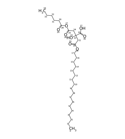 CCCCCCCCCCCCCCCCCCOC(=O)CC(O)(CC(=O)OC(=O)CCCCC)C(=O)O